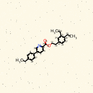 CCc1ccc(-c2ccc(C(=O)OCCc3ccc(CC)c(CC)c3)nc2)cc1